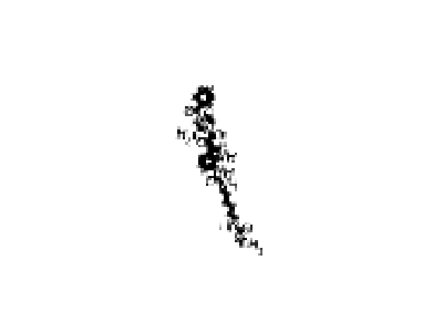 COC(=O)NCCCCCCNC(=O)Nc1cccc2c(C(=O)C(=O)N3CCN(C(=O)c4ccccc4)C[C@H]3C)c[nH]c12